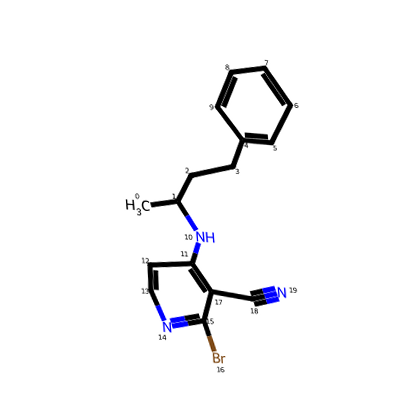 CC(CCc1ccccc1)Nc1ccnc(Br)c1C#N